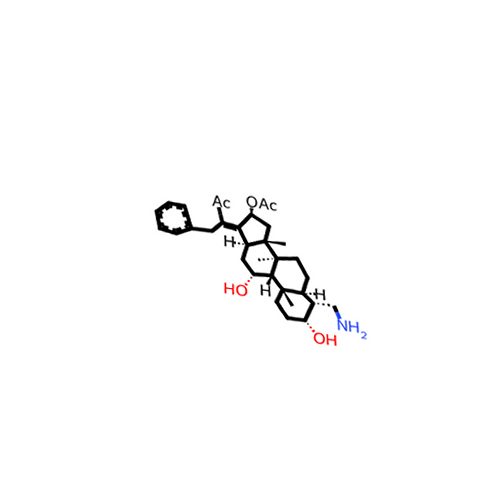 CC(=O)O[C@H]1C[C@@]2(C)[C@@H](C[C@@H](O)[C@H]3[C@@]4(C)CC[C@@H](O)[C@@H](CN)[C@@H]4CC[C@@]32C)/C1=C(\Cc1ccccc1)C(C)=O